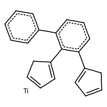 C1=CCC(c2cccc(-c3ccccc3)c2C2=CC=CC2)=C1.[Ti]